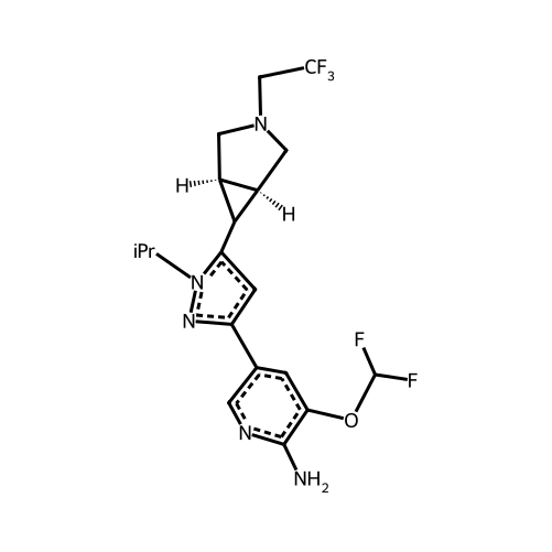 CC(C)n1nc(-c2cnc(N)c(OC(F)F)c2)cc1C1[C@H]2CN(CC(F)(F)F)C[C@@H]12